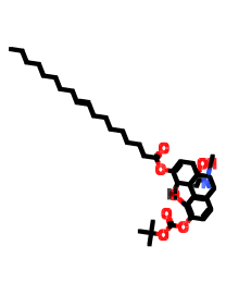 CCCCCCCCC=CCCCCCCCC(=O)OC1=CC[C@]2(O)C3Cc4ccc(OC(=O)OC(C)(C)C)c5c4[C@@]2(CCN3C)[C@H]1O5